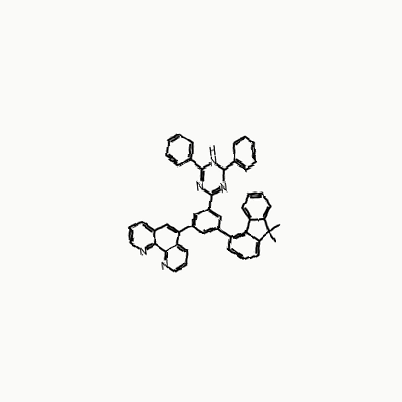 CC1(C)c2ccccc2-c2c(-c3cc(C4=NC(c5ccccc5)NC(c5ccccc5)=N4)cc(-c4cc5cccnc5c5ncccc45)c3)cccc21